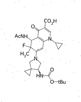 CC(=O)NC1c2c(n(C3CC3)cc(C(=O)O)c2=O)C=C(N2C[C@@H](NC(=O)OC(C)(C)C)C3(CC3)C2)C1(C)F